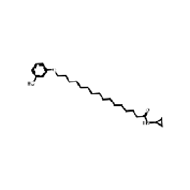 O=C(CCCCCCCCCCCCCCCOc1cccc(O)c1)NC1CC1